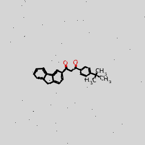 CC(C)(C)c1ccc(C(=O)CC(=O)c2ccc3c(c2)-c2ccccc2C3)cc1